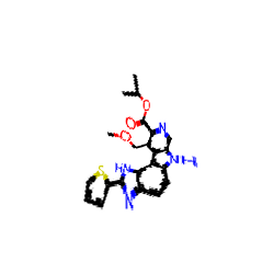 COCc1c(C(=O)OC(C)C)ncc2[nH]c3ccc4nc(-c5cccs5)[nH]c4c3c12